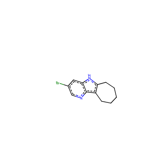 Brc1cnc2c3c([nH]c2c1)CCCCC3